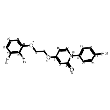 O=c1cc(OCCOc2cccc(F)c2F)ccn1-c1ccc(F)cc1